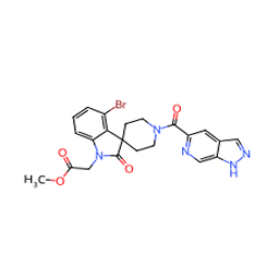 COC(=O)CN1C(=O)C2(CCN(C(=O)c3cc4cn[nH]c4cn3)CC2)c2c(Br)cccc21